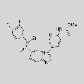 CCN(C(=O)c1ccc2ncc(-c3ccc(NC(=O)OC)nc3)n2c1)c1ccc(F)c(F)c1